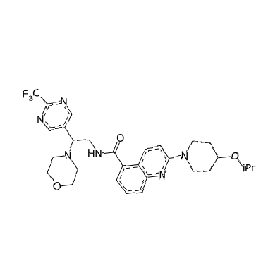 CC(C)OC1CCN(c2ccc3c(C(=O)NCC(c4cnc(C(F)(F)F)nc4)N4CCOCC4)cccc3n2)CC1